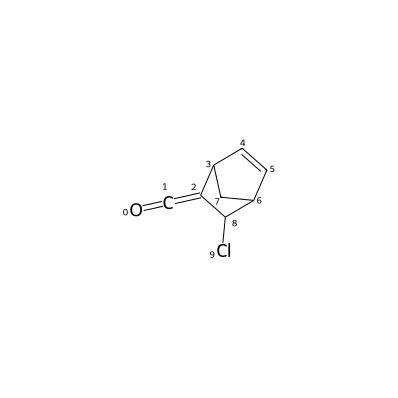 O=C=C1C2C=CC(C2)C1Cl